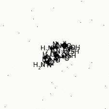 C[C@@H]1C[C@@H](COP(=O)(S)OC[C@@H]2[C@@H](OP(=O)(O)S)C[C@H]2n2cnc3c(N)ncnc32)O[C@H]1n1cnc2c(N)ncnc21